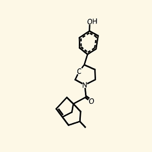 CC1CC2=CCC(C(=O)N3CCC(c4ccc(O)cc4)CC3)(C2)C1